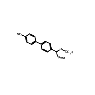 CCCCCC(OC(=O)O)c1ccc(-c2ccc(C#N)cc2)cc1